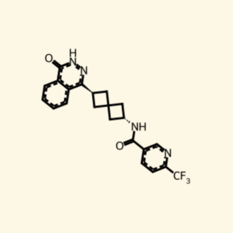 O=C(N[C@H]1CC2(C1)C[C@H](c1n[nH]c(=O)c3ccccc31)C2)c1ccc(C(F)(F)F)nc1